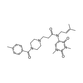 CC(C)=CCN(C(=O)CCN1CCN(C(=O)c2ccc(C)cc2)CC1)c1cn(C)c(=O)n(C)c1=O